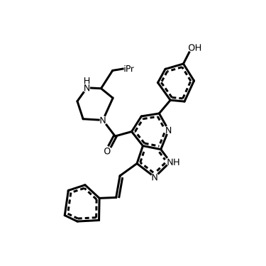 CC(C)CC1CN(C(=O)c2cc(-c3ccc(O)cc3)nc3[nH]nc(C=Cc4ccccc4)c23)CCN1